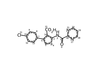 O=C(Nc1scc(-c2ccc(Cl)cc2)c1C(=O)O)c1ncccn1